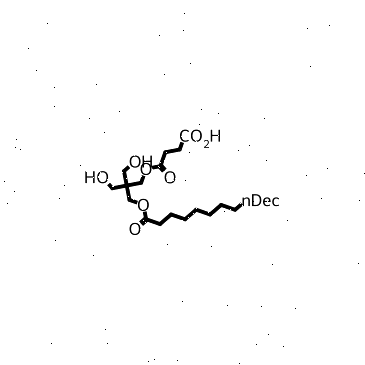 CCCCCCCCCCCCCCCCCC(=O)OCC(CO)(CO)COC(=O)CCC(=O)O